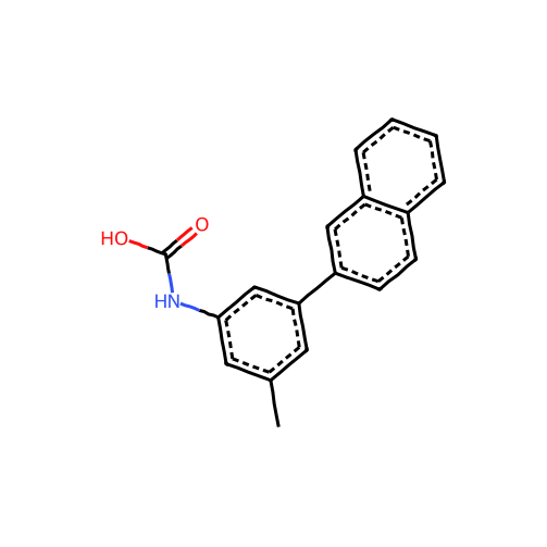 Cc1cc(NC(=O)O)cc(-c2ccc3ccccc3c2)c1